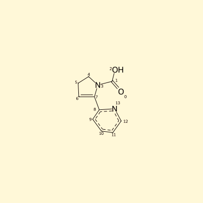 O=C(O)N1CCC=C1c1ccccn1